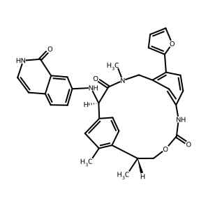 Cc1cc2ccc1[C@@H](C)COC(=O)Nc1ccc(-c3ccco3)c(c1)CN(C)C(=O)[C@@H]2Nc1ccc2cc[nH]c(=O)c2c1